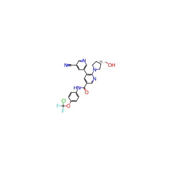 N#Cc1cncc(-c2cc(C(=O)Nc3ccc(OC(F)(F)Cl)cc3)cnc2N2CC[C@H](CO)C2)c1